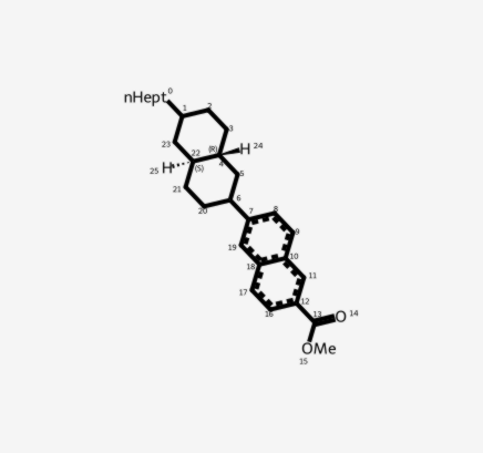 CCCCCCCC1CC[C@@H]2CC(c3ccc4cc(C(=O)OC)ccc4c3)CC[C@H]2C1